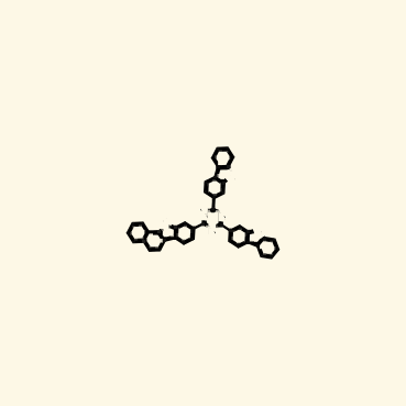 c1ccc2c(c1)ccc1c3ccc(-c4nc(-c5ccc6c(c5)sc5ccccc56)nc(-c5ccc6c(c5)sc5ccccc56)n4)cc3sc21